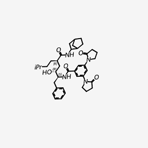 CC(C)CC[C@H](C[C@@H](O)[C@H](Cc1ccccc1)NC(=O)c1cc(N2CCCC2=O)cc(N2CCCC2=O)c1)C(=O)NC1CC2CCC1C2